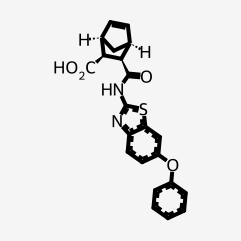 O=C(O)[C@@H]1[C@H](C(=O)Nc2nc3ccc(Oc4ccccc4)cc3s2)[C@@H]2C=C[C@H]1C2